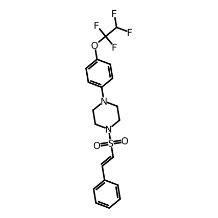 O=S(=O)(C=Cc1ccccc1)N1CCN(c2ccc(OC(F)(F)C(F)F)cc2)CC1